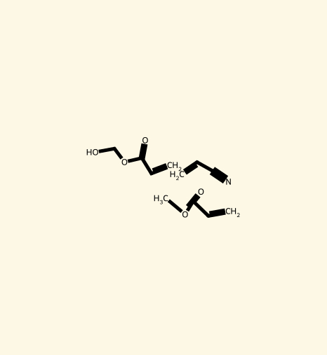 C=CC#N.C=CC(=O)OC.C=CC(=O)OCO